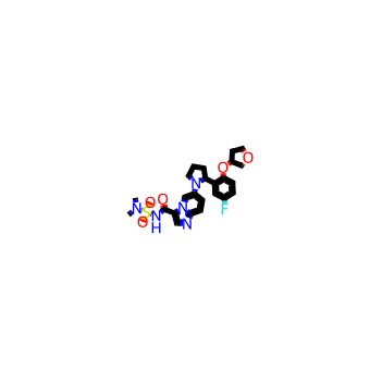 CN(C)S(=O)(=O)NC(=O)c1cnc2ccc(N3CCCC3c3cc(F)ccc3OC3CCOC3)cn12